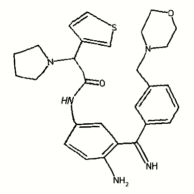 N=C(c1cccc(CN2CCOCC2)c1)c1cc(NC(=O)C(c2ccsc2)N2CCCC2)ccc1N